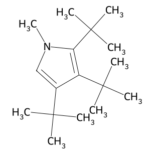 Cn1cc(C(C)(C)C)c(C(C)(C)C)c1C(C)(C)C